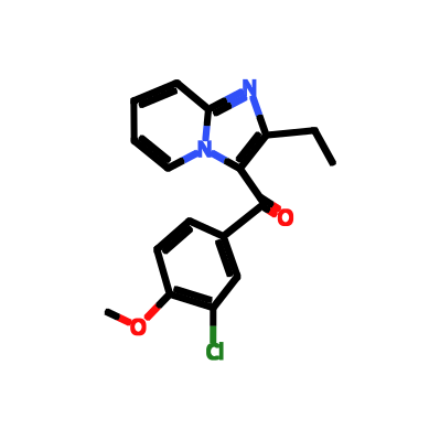 CCc1nc2ccccn2c1C(=O)c1ccc(OC)c(Cl)c1